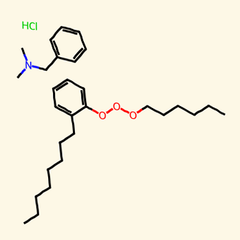 CCCCCCCCc1ccccc1OOOCCCCCC.CN(C)Cc1ccccc1.Cl